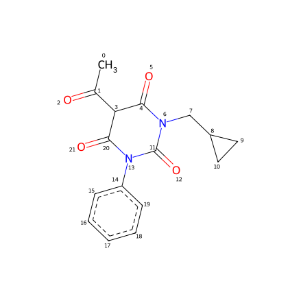 CC(=O)C1C(=O)N(CC2CC2)C(=O)N(c2ccccc2)C1=O